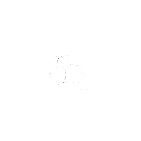 Cc1[nH]c2ccccc2c1/C=N\N(C(=O)O)C(C)(C)C